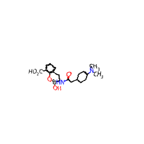 CN(C)C1CCC(CC(=O)NC2Cc3cccc(C(=O)O)c3OB2O)CC1